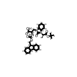 C[C@H](C(=O)OC(C)(C)C)n1c(=O)n(CC(NC(=O)OCC2c3ccccc3-c3ccccc32)C(=O)O)c2ccccc21